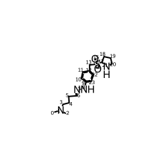 CN(C)CCCC=NNc1ccc(CS(=O)(=O)C2CCCN2)cc1